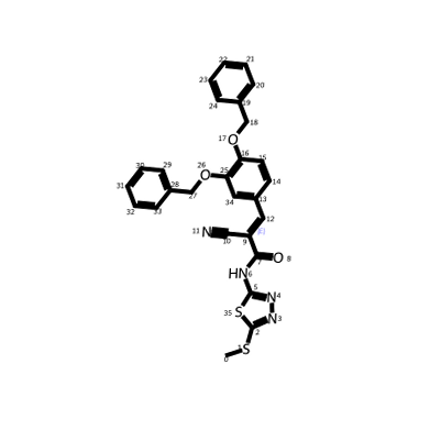 CSc1nnc(NC(=O)/C(C#N)=C/c2ccc(OCc3ccccc3)c(OCc3ccccc3)c2)s1